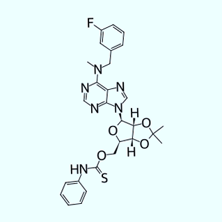 CN(Cc1cccc(F)c1)c1ncnc2c1ncn2[C@@H]1O[C@H](COC(=S)Nc2ccccc2)[C@H]2OC(C)(C)O[C@H]21